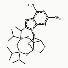 CC(C)[Si]1(C(C)C)O[C@@H]2C3OC[C@@]2(O[C@H]3n2cnc3c(N)nc(N)nc32)O[Si](C(C)C)(C(C)C)O1